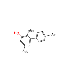 CCCCc1cc(O)c(CCCC)c(-c2ccc(C(C)=O)cc2)c1